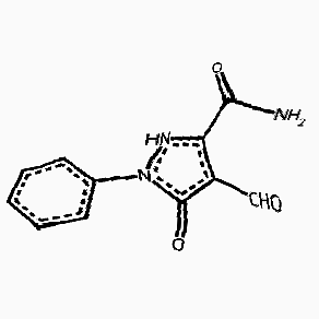 NC(=O)c1[nH]n(-c2ccccc2)c(=O)c1C=O